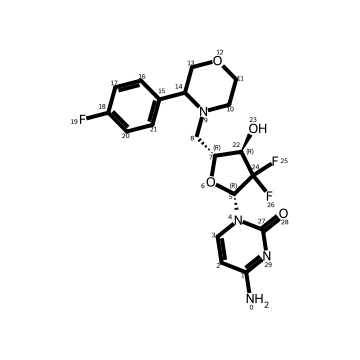 Nc1ccn([C@@H]2O[C@H](CN3CCOCC3c3ccc(F)cc3)[C@@H](O)C2(F)F)c(=O)n1